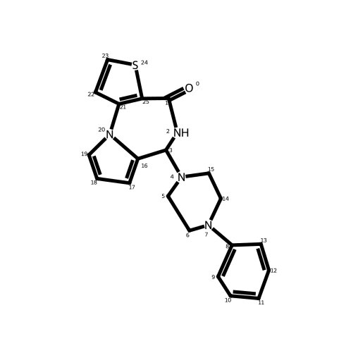 O=C1NC(N2CCN(c3ccccc3)CC2)c2cccn2-c2ccsc21